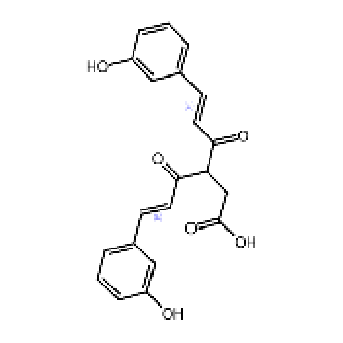 O=C(O)CC(C(=O)/C=C/c1cccc(O)c1)C(=O)/C=C/c1cccc(O)c1